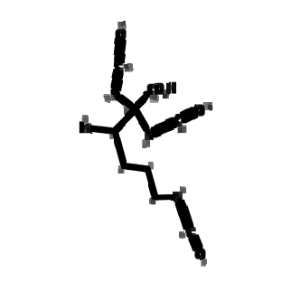 CCC(CCCN=C=O)C(N=C=O)(N=C=O)C(=O)O